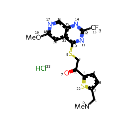 CNCc1ccc(C(=O)CSc2nc(C(F)(F)F)nc3cnc(OC)cc23)s1.Cl